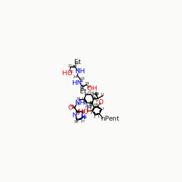 CCCCCc1cc(O)c2c(c1)OC(C)(C)[C@@H]1CCC(C)=C[C@@H]21.CC[C@@H](CO)NCCN[C@@H](CC)CO.NC(=O)c1cnccn1